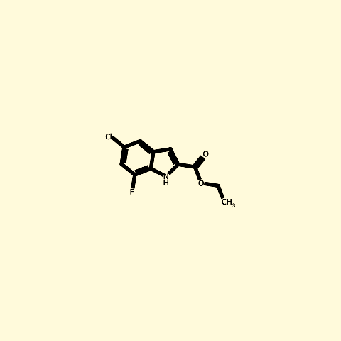 CCOC(=O)c1cc2cc(Cl)cc(F)c2[nH]1